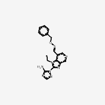 CCn1c(-n2ncnc2N)nc2cncc(C=NOCc3ccccc3)c21